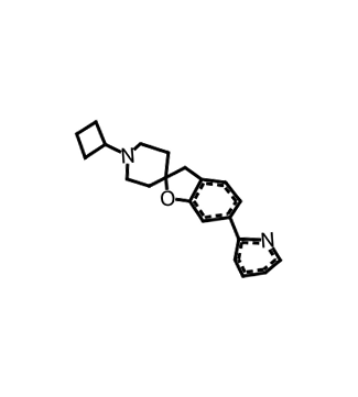 c1ccc(-c2ccc3c(c2)OC2(CCN(C4CCC4)CC2)C3)nc1